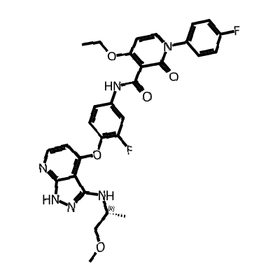 CCOc1ccn(-c2ccc(F)cc2)c(=O)c1C(=O)Nc1ccc(Oc2ccnc3[nH]nc(N[C@H](C)COC)c23)c(F)c1